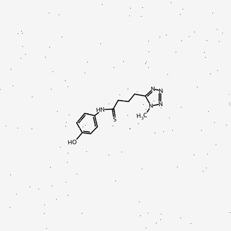 Cn1nnnc1CCCC(=S)Nc1ccc(O)cc1